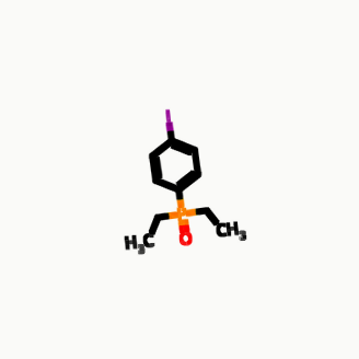 CCP(=O)(CC)c1ccc(I)cc1